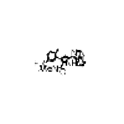 CNC(=O)c1[nH]c(-c2ncnn3cccc23)cc1-c1cc(C(F)(F)F)ccc1C